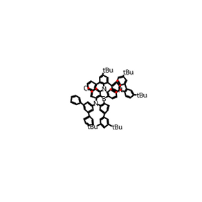 CC(C)(C)c1cc(-c2ccc3c(c2)N(c2cc(-c4ccccc4)cc(-c4ccccc4)c2)c2cc(Cl)cc4c2B3c2ccc(-n3c5ccc(C(C)(C)C)cc5c5cc(C(C)(C)C)ccc53)cc2N4c2c(-c3ccccc3)cc(C(C)(C)C)cc2-c2ccccc2)cc(C(C)(C)C)c1